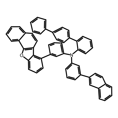 c1ccc(-c2ccc(-c3ccccc3N(c3cccc(-c4ccc5ccccc5c4)c3)c3cccc(-c4cccc5oc6c7ccccc7ccc6c45)c3)cc2)cc1